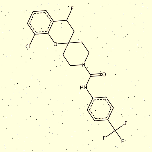 O=C(Nc1ccc(C(F)(F)F)cc1)N1CCC2(CC1)CC(F)c1cccc(Cl)c1O2